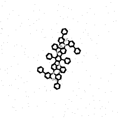 Cc1ccc(-c2ccccc2)cc1N(c1cc(-c2ccccc2)ccc1C)c1ccc2c3c(-c4ccccc4)c4c(c(-c5ccccc5)c3n3c5ccccc5c1c23)c1ccc(N(c2cc(-c3ccccc3)ccc2C)c2cc(-c3ccccc3)ccc2C)c2c3ccccc3n4c12